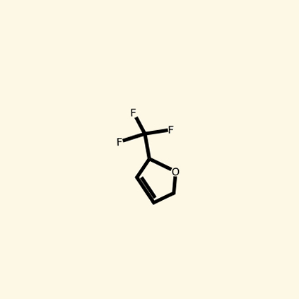 FC(F)(F)C1C=CCO1